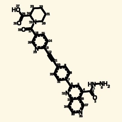 NNC(=O)c1cc(-c2ccc(C#Cc3ccc(C(=O)N4CCCCC4C(=O)O)cn3)cc2)nc2ccncc12